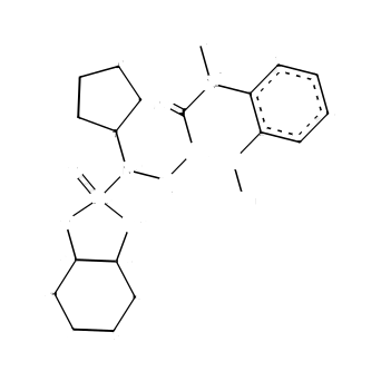 CC(C)Oc1ccccc1N(C)C(=O)OSN(C1CCCC1)P1(=O)OC2CCCCC2O1